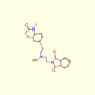 CCCN(CCc1ccc2c(c1)OCC(=O)N2C)CCN1C(=O)c2ccccc2C1=O